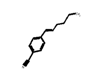 CCCCC=Cc1ccc(C#N)cc1